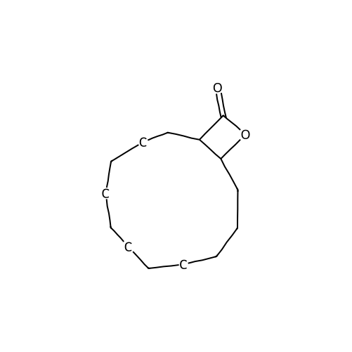 O=C1OC2CCCCCCCCCCCC12